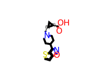 O=C(O)[C@@H]1C[C@H]1CN1CCC(c2noc3ccsc23)CC1